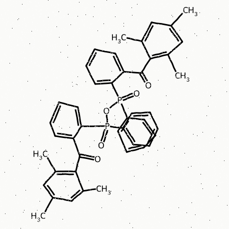 Cc1cc(C)c(C(=O)c2ccccc2P(=O)(OP(=O)(c2ccccc2)c2ccccc2C(=O)c2c(C)cc(C)cc2C)c2ccccc2)c(C)c1